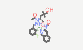 CC(=O)N(NCc1cccc(F)c1Cl)[C@H](CON(C=O)c1cc2ccccc2cn1)CC(C)(C)CO